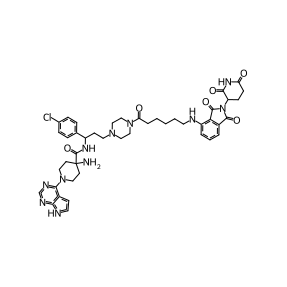 NC1(C(=O)NC(CCN2CCN(C(=O)CCCCCNc3cccc4c3C(=O)N(C3CCC(=O)NC3=O)C4=O)CC2)c2ccc(Cl)cc2)CCN(c2ncnc3[nH]ccc23)CC1